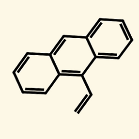 C=Cc1c2ccccc2cc2ccccc12